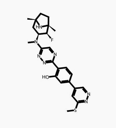 CSc1cc(-c2ccc(-c3ncc(N(C)[C@H]4C[C@]5(C)CC[C@@](C)(N5)[C@H]4F)nn3)c(O)c2)cnn1